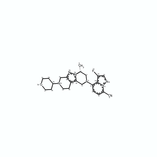 C[C@@H]1CN(c2ccc(C#N)n3ncc(F)c23)Cc2c3c(nn21)CN(C1CCOCC1)CC3